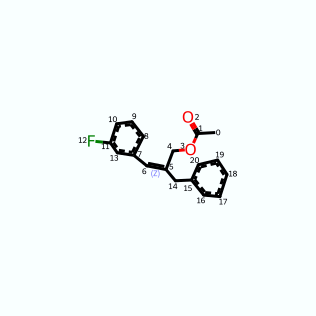 CC(=O)OC/C(=C\c1cccc(F)c1)Cc1ccccc1